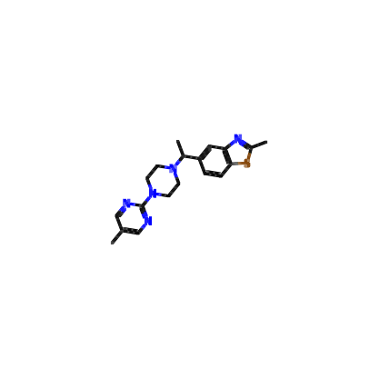 Cc1cnc(N2CCN(C(C)c3ccc4sc(C)nc4c3)CC2)nc1